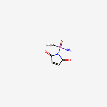 CCCCCP(N)(=S)N1C(=O)C=CC1=O